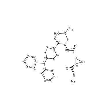 CC(C)C[C@H](NC(=O)[C@@H]1O[C@H]1C(=O)[O-])C(=O)N1CCN(C(c2ccccc2)c2ccccc2)CC1.[Na+]